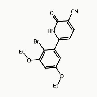 CCOc1cc(OCC)c(Br)c(-c2ccc(C#N)c(=O)[nH]2)c1